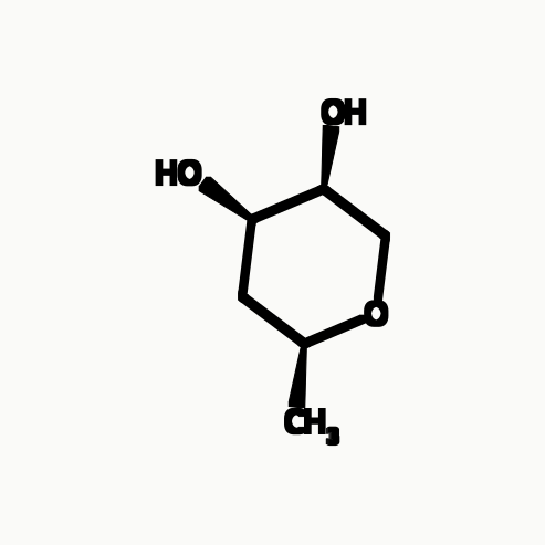 C[C@H]1C[C@@H](O)[C@@H](O)CO1